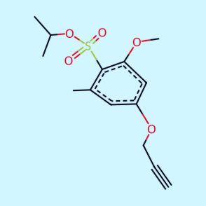 C#CCOc1cc(C)c(S(=O)(=O)OC(C)C)c(OC)c1